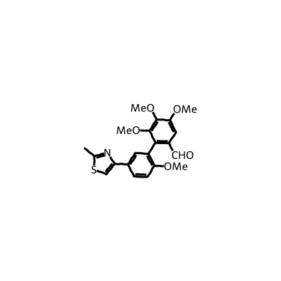 COc1ccc(-c2csc(C)n2)cc1-c1c(C=O)cc(OC)c(OC)c1OC